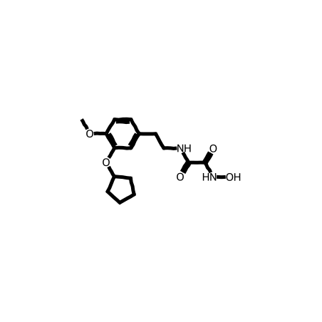 COc1ccc(CCNC(=O)C(=O)NO)cc1OC1CCCC1